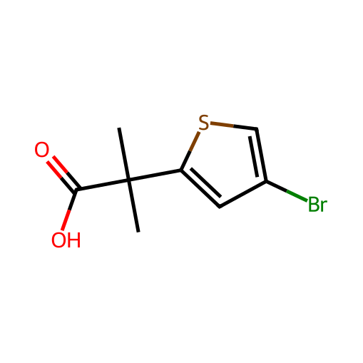 CC(C)(C(=O)O)c1cc(Br)cs1